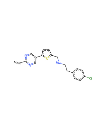 CNc1ncc(-c2ccc(CNCCc3ccc(Cl)cc3)s2)cn1